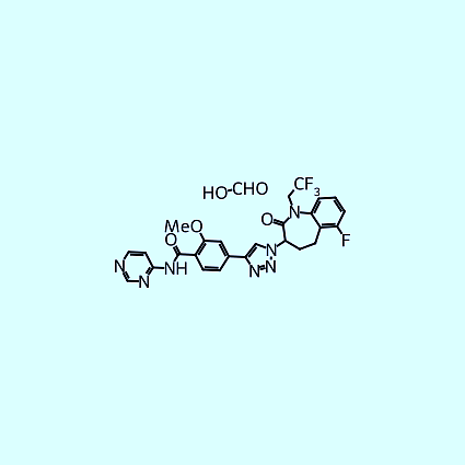 COc1cc(-c2cn(C3CCc4c(F)cccc4N(CC(F)(F)F)C3=O)nn2)ccc1C(=O)Nc1ccncn1.O=CO